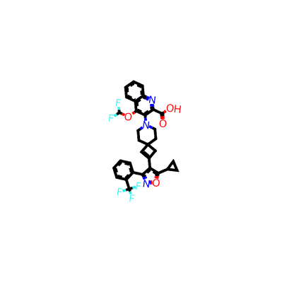 O=C(O)c1nc2ccccc2c(OC(F)F)c1N1CCC2(C=C(c3c(-c4ccccc4C(F)(F)F)noc3C3CC3)C2)CC1